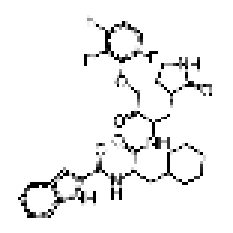 O=C(NC(CC1CCCCC1)C(=O)NC(C[C@@H]1CCNC1=O)C(=O)COc1c(F)ccc(F)c1F)c1cc2ccccc2[nH]1